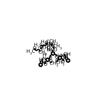 COc1cc2c(cc1OCc1cc(COc3cc4c(cc3OC)C(=O)N3c5ccccc5C[C@H]3C(O)N4)cc(NC(=O)[C@H](C)NC(=O)[C@@H](NC(=O)CCC(C)(C)SSC(C)CCC(C)=O)C(C)C)c1)NC[C@@H]1Cc3ccccc3N1C2=O